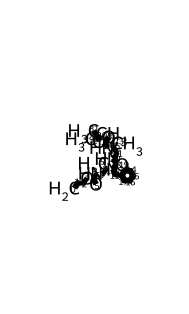 C=CCOC(=O)NC[C@H](C)N(Cc1ccccc1)C(=O)NC[C@H](C)NC(=O)OC(C)(C)C